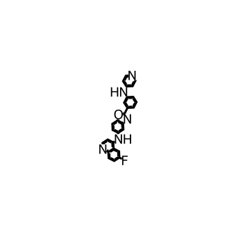 Fc1ccc2nccc(Nc3ccc4oc(-c5cccc(Nc6ccncc6)c5)nc4c3)c2c1